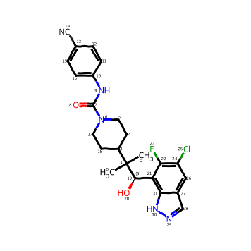 CC(C)(C1CCN(C(=O)Nc2ccc(C#N)cc2)CC1)[C@H](O)c1c(F)c(Cl)cc2cn[nH]c12